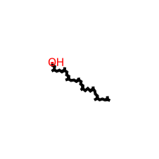 CC(C)=CCCC(C)=CCCC(C)=CCCC(C)=CCCC(C)=CCCC(C)=CCCC(C)=CCCC(C)CCO